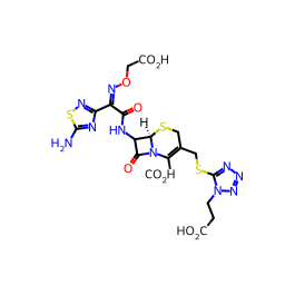 Nc1nc(/C(=N/OCC(=O)O)C(=O)NC2C(=O)N3C(C(=O)O)=C(CSc4nnnn4CCC(=O)O)CS[C@H]23)ns1